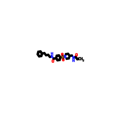 C=CC(=O)NCC1CCN(S(=O)(=O)c2ccc(C(=O)NCCCCc3ccccc3)cc2)CC1